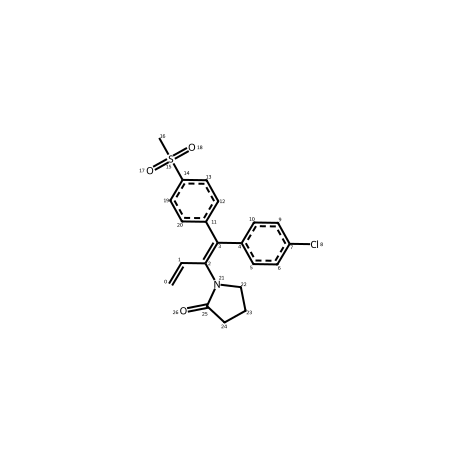 C=C/C(=C(/c1ccc(Cl)cc1)c1ccc(S(C)(=O)=O)cc1)N1CCCC1=O